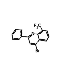 FC(F)(F)c1cccc2c(Br)cc(-c3ccccc3)nc12